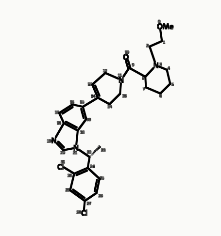 COCCN1CCCCC1C(=O)N1CC=C(c2ccc3ncn([C@H](C)c4ccc(Cl)cc4Cl)c3c2)CC1